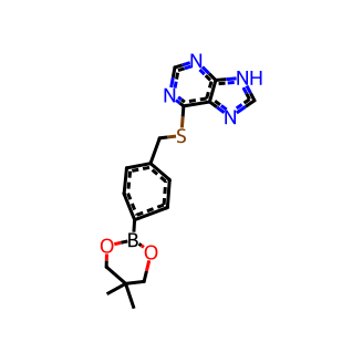 CC1(C)COB(c2ccc(CSc3ncnc4[nH]cnc34)cc2)OC1